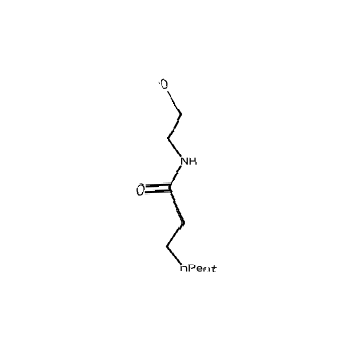 CCCCCCCC(=O)NCC[O]